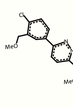 COCc1ccc(-c2ccc(Cl)c(COC)c2)nn1